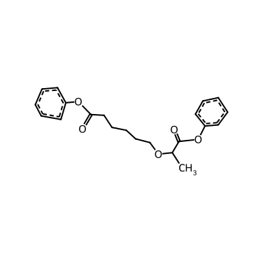 CC(OCCCCCC(=O)Oc1ccccc1)C(=O)Oc1ccccc1